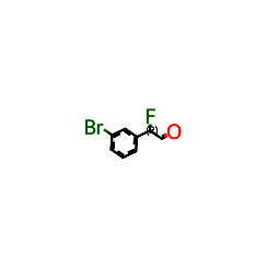 O=C[C@H](F)c1cccc(Br)c1